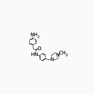 CN1CCN(Cc2ccc(NC(=O)Cc3ccc(N)cc3)cc2)CC1